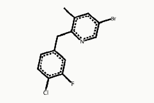 Cc1cc(Br)cnc1Cc1ccc(Cl)c(F)c1